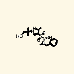 BN(B(C)Cc1ccccc1)S(=O)(=O)c1cn(C(C)(C)CO)nc1C